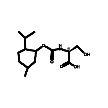 CC1CCC(C(C)C)C(OC(=O)N[C@@H](CO)C(=O)O)C1